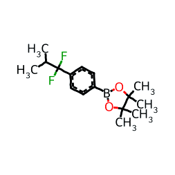 CC(C)C(F)(F)c1ccc(B2OC(C)(C)C(C)(C)O2)cc1